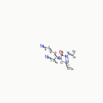 C=C(C#N)/C(=C\C=C\C#N)N(C/C=C/C)C(=O)N/C=C/C